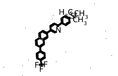 C[Si](C)(C)c1ccc(-c2ccc(-c3ccc4ccc(-c5ccc(C(F)(F)F)cc5)cc4c3)cn2)cc1